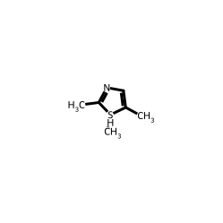 CC1=CN=C(C)[SH]1C